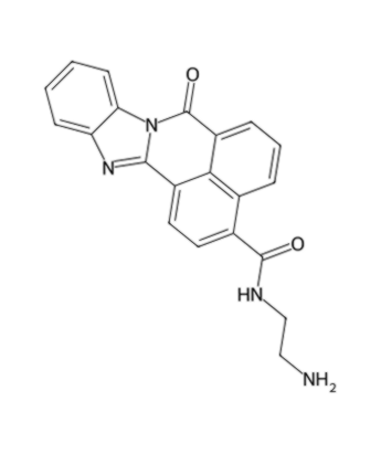 NCCNC(=O)c1ccc2c3c1cccc3c(=O)n1c3ccccc3nc21